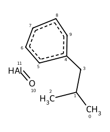 CC(C)Cc1ccccc1.[O]=[AlH]